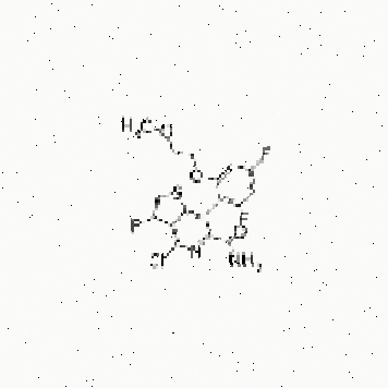 COCCOc1cc(F)cc(F)c1-c1c(C(N)=O)nc(Cl)c2c(F)csc12